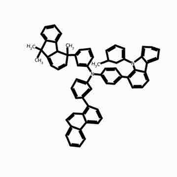 CC1C=CC=C(n2c3ccccc3c3cccc(-c4ccc(N(c5cccc(-c6cccc7c6ccc6ccccc67)c5)c5cccc(C6(C)C=CC=C7C6c6ccccc6C7(C)C)c5)cc4)c32)C1